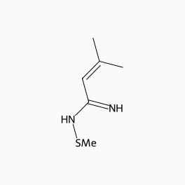 CSNC(=N)C=C(C)C